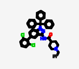 CC(C)CN1CCC(C(=O)Nc2nn(C(c3ccccc3)(c3ccccc3)c3ccccc3)c3ccc(-c4c(Cl)cccc4Cl)cc23)CC1